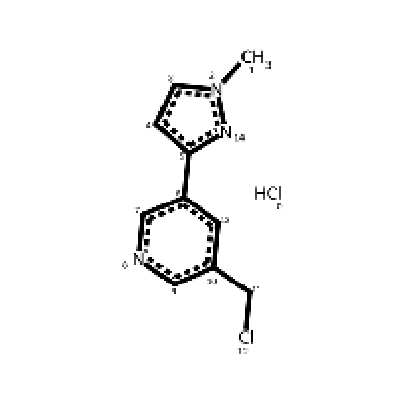 Cl.Cn1ccc(-c2cncc(CCl)c2)n1